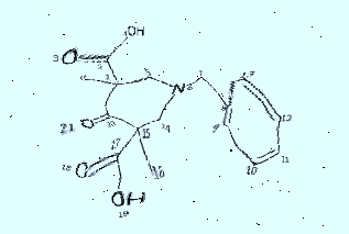 CC1(C(=O)O)CN(Cc2ccccc2)CC(C)(C(=O)O)C1=O